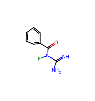 N=C(N)N(F)C(=O)c1ccccc1